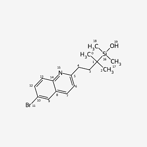 CC(C)(CCc1ccc2cc(Br)ccc2n1)[Si](C)(C)O